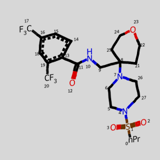 CCCS(=O)(=O)N1CCN(C2(CNC(=O)c3ccc(C(F)(F)F)cc3C(F)(F)F)CCOCC2)CC1